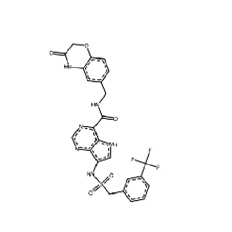 O=C1COc2ccc(CNC(=O)c3ncnc4c(NS(=O)(=O)Cc5cccc(C(F)(F)F)c5)c[nH]c34)cc2N1